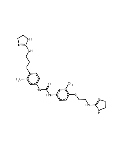 O=C(Nc1ccc(SCCNC2=NCCN2)c(C(F)(F)F)c1)Nc1ccc(SCCNC2=NCCN2)c(C(F)(F)F)c1